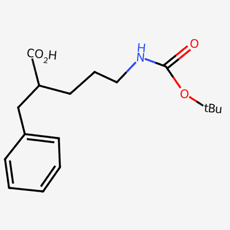 CC(C)(C)OC(=O)NCCCC(Cc1ccccc1)C(=O)O